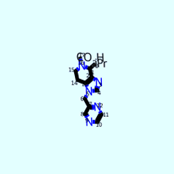 CC(C)C1c2ncn(Cc3cnccn3)c2CCN1C(=O)O